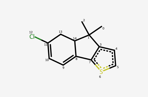 CC1(C)c2ccsc2C2=CC=C(Cl)CC21